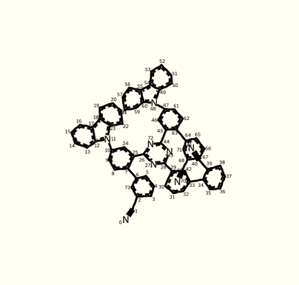 N#Cc1cccc(-c2ccc(-n3c4ccccc4c4ccccc43)cc2-c2nc(-c3cccc(-c4ccccc4C#N)c3)nc(-c3cc(-n4c5ccccc5c5ccccc54)ccc3-c3cccc(C#N)c3)n2)c1